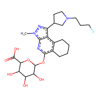 Cn1nc(C2CCN(CCCF)C2)c2c3c(c(OC4OC(C(=O)O)C(O)C(O)C4O)nc21)CCCC3